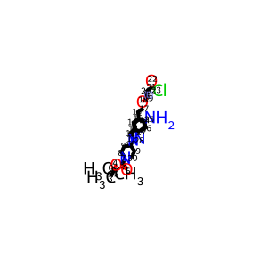 CC(C)(C)OC(=O)N1CCC(n2cc3cc(CCO/C=C/C(=O)Cl)c(N)cc3n2)CC1